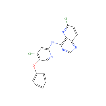 Clc1ccc2ncnc(Nc3cc(Cl)c(Oc4ccccc4)cn3)c2n1